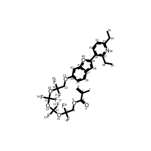 C=C(C)C(=O)OCC(F)(F)OC(F)(F)OC(F)(F)OC(F)(F)COc1ccc2cc(-c3ccc(CC)nc3CC)oc2c1